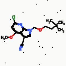 COc1cc(Cl)nc2c1c(C#N)cn2COCC[Si](C)(C)C